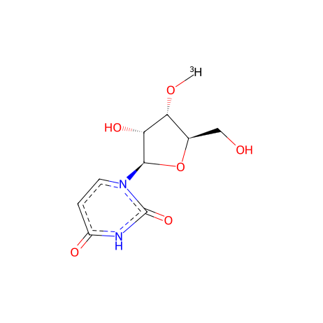 [3H]O[C@H]1[C@@H](O)[C@H](n2ccc(=O)[nH]c2=O)O[C@@H]1CO